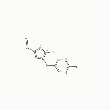 Cc1ccc(Cn2cc(C=O)nc2C)cc1